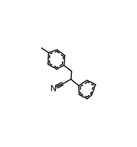 Cc1ccc(CC(C#N)c2ccccc2)cc1